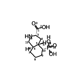 O=C(O)[C@@H]1C[C@H]2[C@@H](CCC[C@H]2P(=O)(O)O)CN1